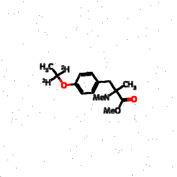 [2H]C([2H])(C)Oc1ccc(CC(C)(NC)C(=O)OC)cc1